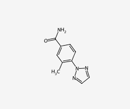 Cc1cc(C(N)=O)ccc1-n1nccn1